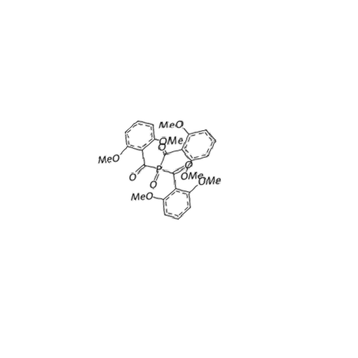 COc1cccc(OC)c1C(=O)P(=O)(C(=O)c1c(OC)cccc1OC)C(=O)c1c(OC)cccc1OC